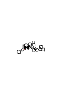 O=C(COc1ccc(Cl)c(Cl)c1)NCCNC(=O)c1nc(-c2ccc(Cl)cc2)no1